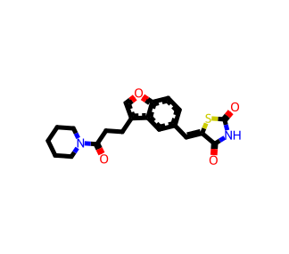 O=C1NC(=O)/C(=C/c2ccc3occ(CCC(=O)N4CCCCC4)c3c2)S1